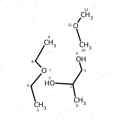 CC(O)CO.CCOCC.COC